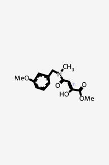 COC(=O)/C(O)=C/C(=O)N(C)Cc1cccc(OC)c1